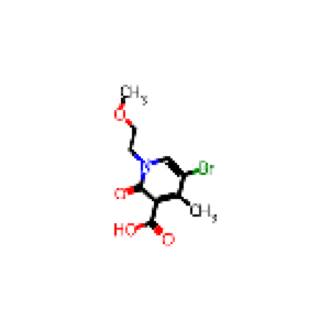 COCCn1cc(Br)c(C)c(C(=O)O)c1=O